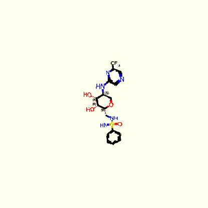 N=S(=O)(NC[C@H]1OC[C@H](Nc2cncc(C(F)(F)F)n2)[C@@H](O)[C@H]1O)c1ccccc1